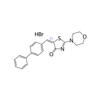 Br.O=C1N=C(N2CCOCC2)S/C1=C/c1ccc(-c2ccccc2)cc1